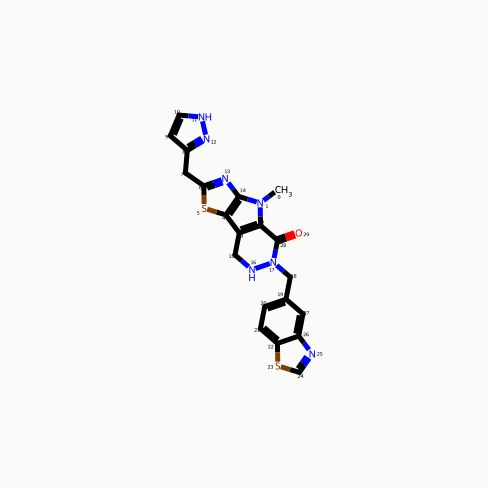 Cn1c2c(c3sc(Cc4cc[nH]n4)nc31)CNN(Cc1ccc3scnc3c1)C2=O